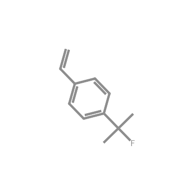 C=Cc1ccc(C(C)(C)F)cc1